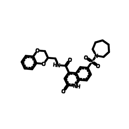 O=C(NCC1COc2ccccc2O1)c1cc(=O)[nH]c2ccc(S(=O)(=O)N3CCCCCC3)cc12